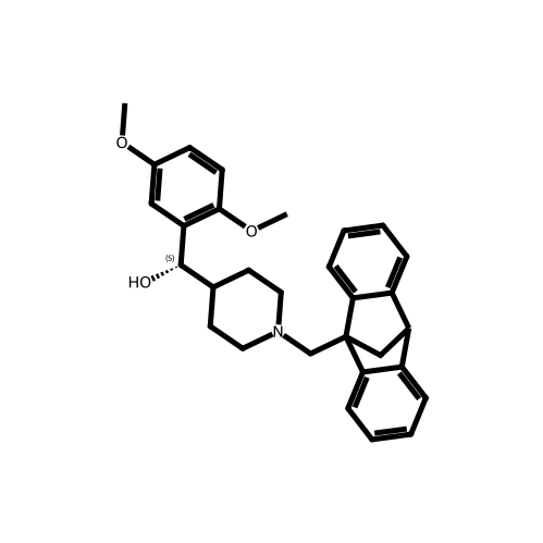 COc1ccc(OC)c([C@@H](O)C2CCN(CC34CC(c5ccccc53)c3ccccc34)CC2)c1